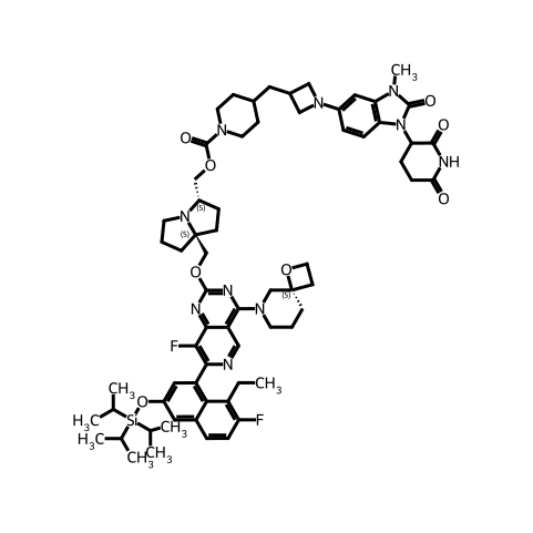 CCc1c(F)ccc2cc(O[Si](C(C)C)(C(C)C)C(C)C)cc(-c3ncc4c(N5CCC[C@]6(CCO6)C5)nc(OC[C@@]56CCCN5[C@H](COC(=O)N5CCC(CC7CN(c8ccc9c(c8)n(C)c(=O)n9C8CCC(=O)NC8=O)C7)CC5)CC6)nc4c3F)c12